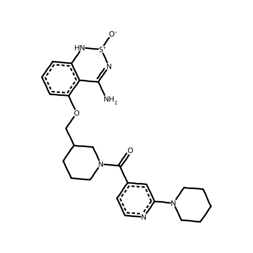 NC1=N[S+]([O-])Nc2cccc(OCC3CCCN(C(=O)c4ccnc(N5CCCCC5)c4)C3)c21